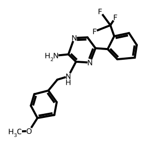 COc1ccc(CNc2nc(-c3ccccc3C(F)(F)F)cnc2N)cc1